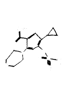 COC(=O)c1cc(C2CC2)c(OS(=O)(=O)C(F)(F)F)cc1N1CCOCC1